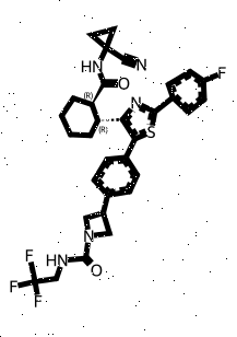 N#CC1(NC(=O)[C@@H]2CCCC[C@H]2c2nc(-c3ccc(F)cc3)sc2-c2ccc(C3CN(C(=O)NCC(F)(F)F)C3)cc2)CC1